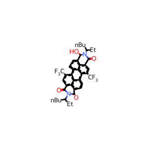 CCCCC(CC)N1C(=O)c2ccc3c4c(C(F)(F)F)cc5c6c(ccc(c7c(C(F)(F)F)cc(c2c37)C1=O)c64)C(O)N(C(CC)CCCC)C5=O